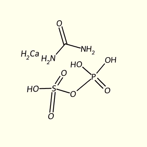 NC(N)=O.O=P(O)(O)OS(=O)(=O)O.[CaH2]